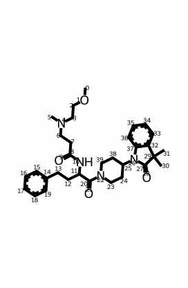 COCCN(C)CCC(=O)NC(CCc1ccccc1)C(=O)N1CCC(N2C(=O)C(C)(C)c3ccccc32)CC1